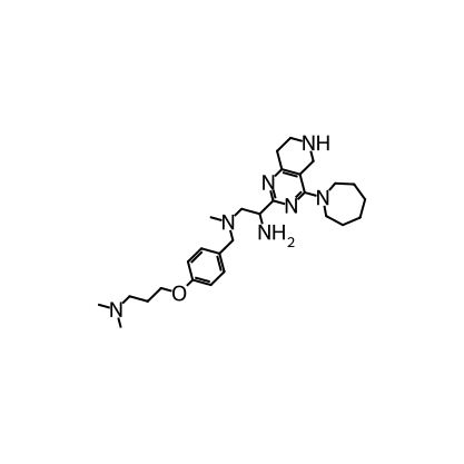 CN(C)CCCOc1ccc(CN(C)CC(N)c2nc3c(c(N4CCCCCC4)n2)CNCC3)cc1